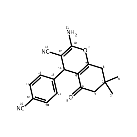 CC1(C)CC(=O)C2=C(C1)OC(N)=C(C#N)C2c1ccc(C#N)cc1